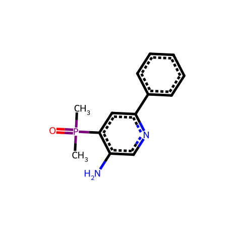 CP(C)(=O)c1cc(-c2ccccc2)ncc1N